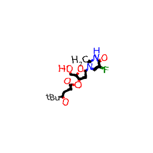 C=C1NC(=O)C(F)=CN1C1CC(OC(=O)CCC(=O)C(C)(C)C)C(CO)O1